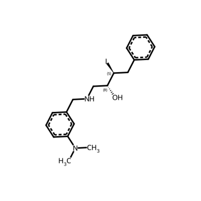 CN(C)c1cccc(CNC[C@@H](O)[C@@H](I)Cc2ccccc2)c1